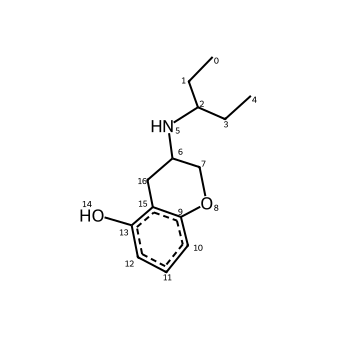 CCC(CC)NC1COc2cccc(O)c2C1